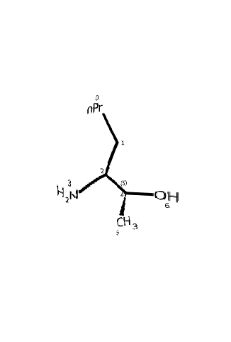 CCCCC(N)[C@H](C)O